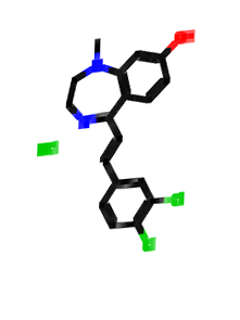 CN1CCN=C(C=Cc2ccc(Cl)c(Cl)c2)c2ccc(O)cc21.Cl